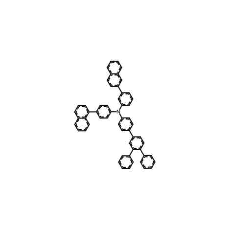 c1ccc(-c2ccc(-c3ccc(N(c4ccc(-c5cccc6ccccc56)cc4)c4cccc(-c5ccc6ccccc6c5)c4)cc3)cc2-c2ccccc2)cc1